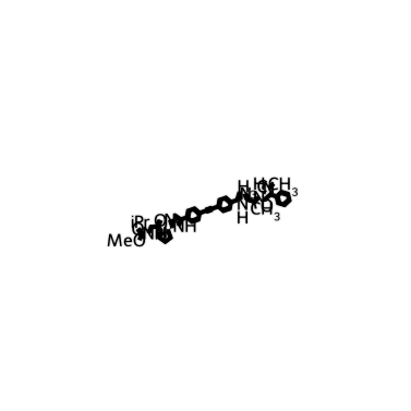 COC(=O)N[C@H](C(=O)N1CCC[C@H]1c1ncc(-c2ccc(C#Cc3ccc(-c4cnc([C@H](C)NC(=O)[C@@H](c5ccccc5)N(C)C)[nH]4)cc3)cc2)[nH]1)C(C)C